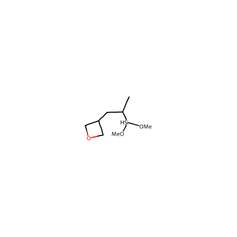 CO[SiH](OC)C(C)CC1COC1